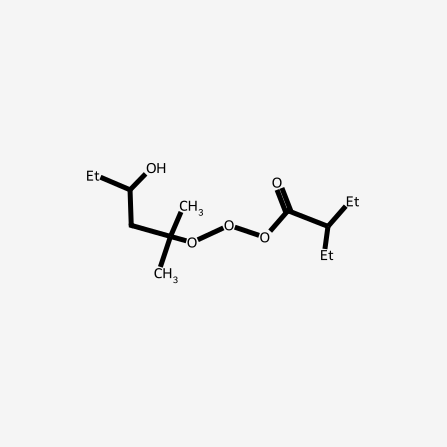 CCC(O)CC(C)(C)OOOC(=O)C(CC)CC